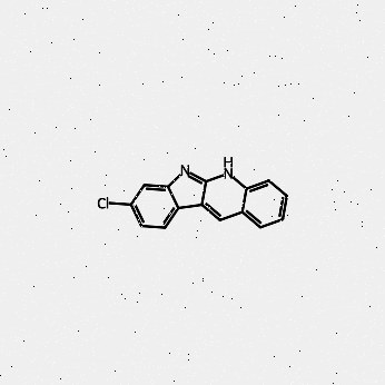 Clc1ccc2c3cc4ccccc4[nH]c-3nc2c1